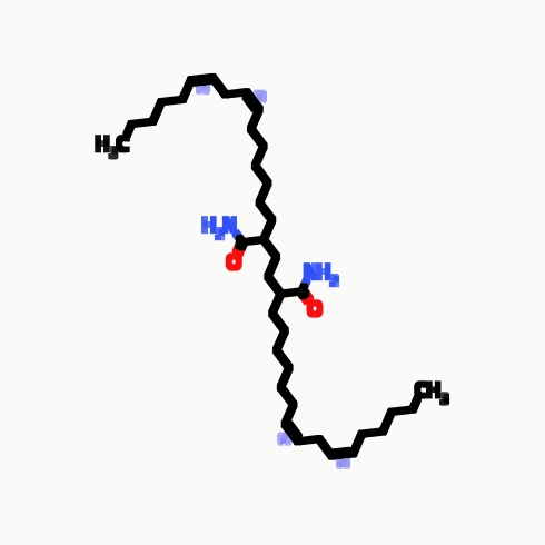 CCCCC/C=C\C/C=C\CCCCCCC(CCC(CCCCCC/C=C\C/C=C\CCCCC)C(N)=O)C(N)=O